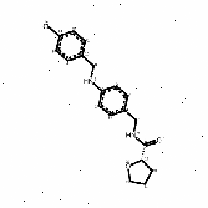 O=C(NCc1ccc(NCc2ccc(Cl)cc2)cc1)[C@@H]1CCCO1